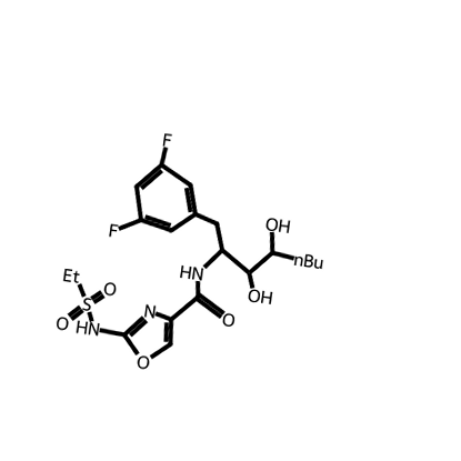 CCCCC(O)C(O)C(Cc1cc(F)cc(F)c1)NC(=O)c1coc(NS(=O)(=O)CC)n1